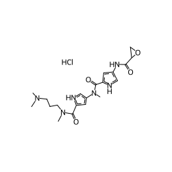 CN(C)CCCN(C)C(=O)c1cc(N(C)C(=O)c2cc(NC(=O)C3CO3)c[nH]2)c[nH]1.Cl